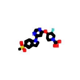 CS(=O)(=O)c1ccc2c(c1)CCN2c1cc(O[C@@H]2CCN(C(=O)O)C[C@@H]2F)ncn1